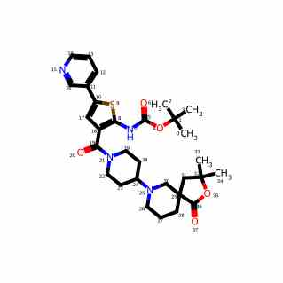 CC(C)(C)OC(=O)Nc1sc(-c2cccnc2)cc1C(=O)N1CCC(N2CCCC3(C2)CC(C)(C)OC3=O)CC1